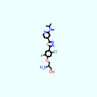 CC(C)N(C)c1cc(-c2nnc(-c3cc(F)c(OCC(N)CO)cc3Cl)s2)ccn1